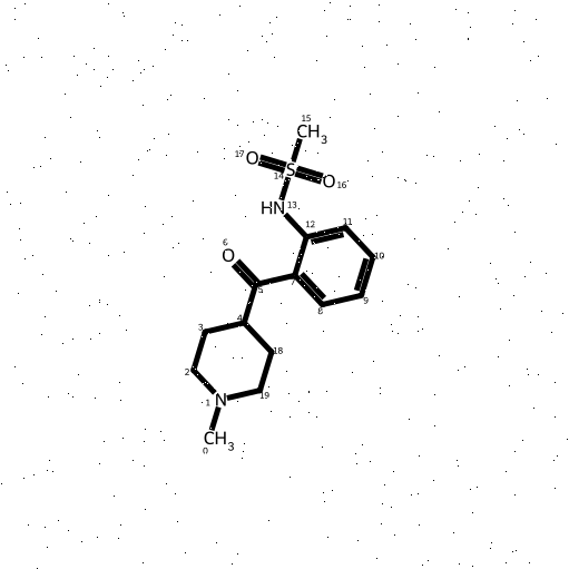 CN1CCC(C(=O)c2ccccc2NS(C)(=O)=O)CC1